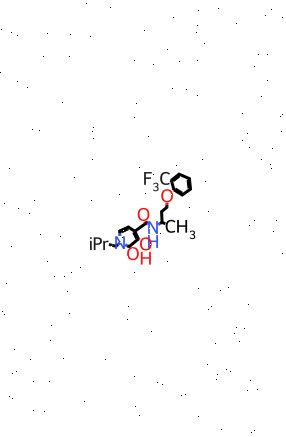 CC(C)Cn1ccc(C(=O)NC(C)CCOc2ccccc2C(F)(F)F)c(O)c1=O